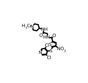 CN1CCC(NC(=O)CNC(=O)c2cc([N+](=O)[O-])c(Sc3c(Cl)cncc3Cl)s2)CC1